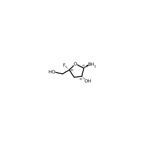 B[C@@H]1O[C@](F)(CO)C[C@H]1O